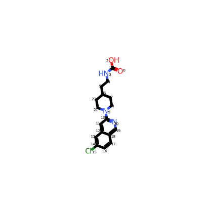 O=C(O)NCCC1CCN(c2cc3cc(Cl)ccc3cn2)CC1